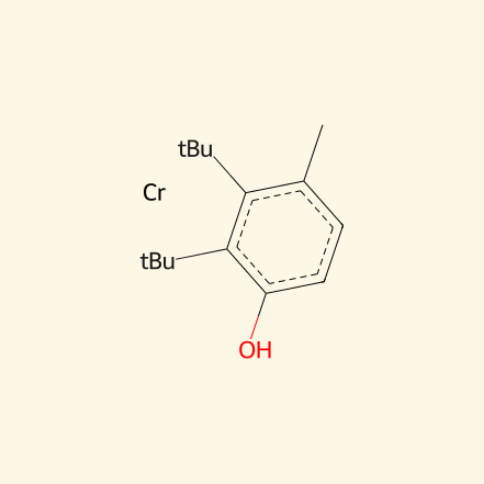 Cc1ccc(O)c(C(C)(C)C)c1C(C)(C)C.[Cr]